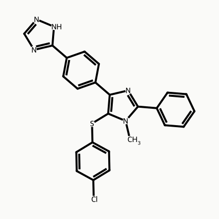 Cn1c(-c2ccccc2)nc(-c2ccc(-c3ncn[nH]3)cc2)c1Sc1ccc(Cl)cc1